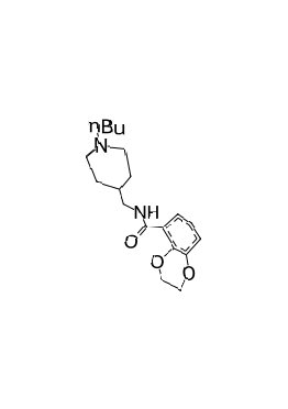 CCCCN1CCC(CNC(=O)c2cccc3c2OCCO3)CC1